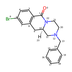 O=C1c2ccc(Br)cc2C[C@@H]2CN(Cc3ccccc3)CCN12